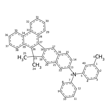 Cc1cccc(N(c2ccccc2)c2ccc3cc4c(cc3c2)C(C)(C)c2c-4c3ccccc3c3ccccc23)c1